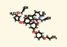 C#CCOC1(C)C=CC(Oc2ccc(C3(c4ccc(Oc5ccc(O/C=C/C)cc5)cc4)C(=O)N(CC#C)C(C)/C=C\C=C\3C)cc2)=C1